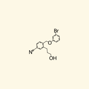 N#Cc1ccc(COc2cccc(Br)c2)c(CCCO)c1